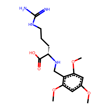 COc1cc(OC)c(CN[C@@H](CCCNC(=N)N)C(=O)O)c(OC)c1